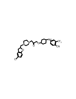 N#Cc1ccc(NC2CCC(OCC(=O)CN3CCN(CC4Cc5cc(Cl)ccc5O4)CC3)CC2)cc1C(F)(F)F